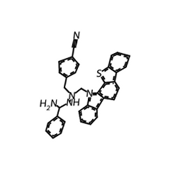 N#Cc1ccc(CN(Cn2c3ccccc3c3ccc4c5ccccc5sc4c32)NC(N)c2ccccc2)cc1